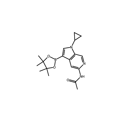 CC(=O)Nc1cc2c(B3OC(C)(C)C(C)(C)O3)cn(C3CC3)c2cn1